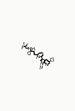 O=C(CCc1cncc(-c2c[nH]c3ncc(Cl)cc23)n1)NCC(F)(F)F